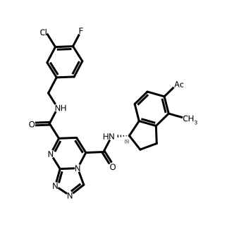 CC(=O)c1ccc2c(c1C)CC[C@@H]2NC(=O)c1cc(C(=O)NCc2ccc(F)c(Cl)c2)nc2nncn12